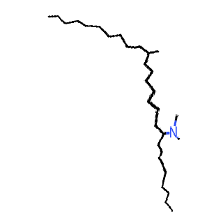 CCCCCCCCCCC(C)CCCCCCCC(CCCCCCCC)N(C)C